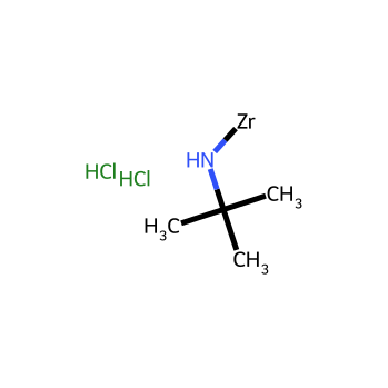 CC(C)(C)[NH][Zr].Cl.Cl